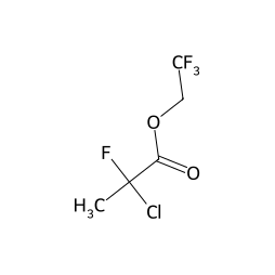 CC(F)(Cl)C(=O)OCC(F)(F)F